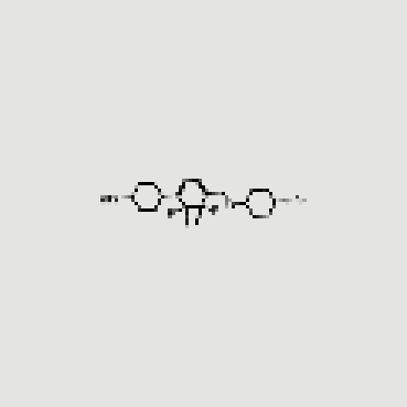 CCCC1CCC(OCC2=CC=C(C3CCC(CCC)CC3)C(F)(F)C2(F)F)CC1